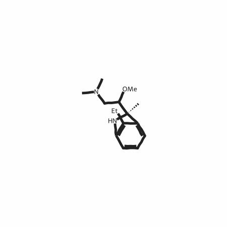 CCc1c2cccc1[C@](C)(C(CN(C)C)OC)N2